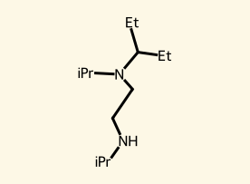 CCC(CC)N(CCNC(C)C)C(C)C